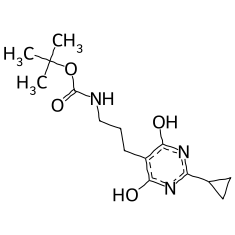 CC(C)(C)OC(=O)NCCCc1c(O)nc(C2CC2)nc1O